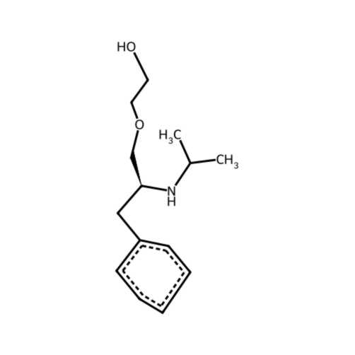 CC(C)N[C@H](COCCO)Cc1ccccc1